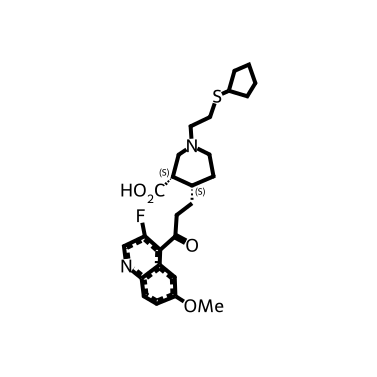 COc1ccc2ncc(F)c(C(=O)CC[C@H]3CCN(CCSC4CCCC4)C[C@H]3C(=O)O)c2c1